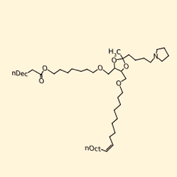 CCCCCCCC/C=C\CCCCCCCCOCC1OC(C)(CCCCN2CCCC2)OC1COCCCCCCCOC(=O)CCCCCCCCCCC